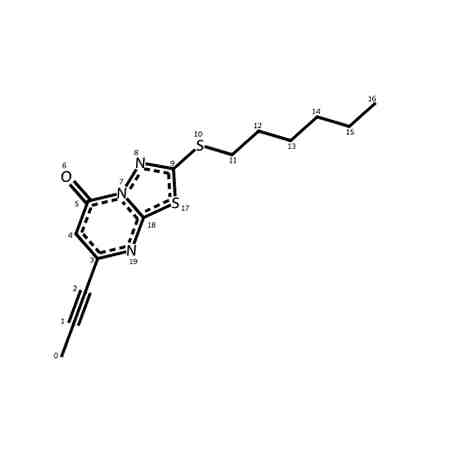 CC#Cc1cc(=O)n2nc(SCCCCCC)sc2n1